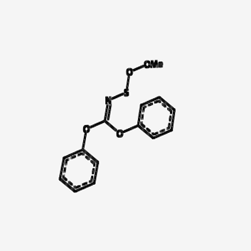 COOSN=C(Oc1ccccc1)Oc1ccccc1